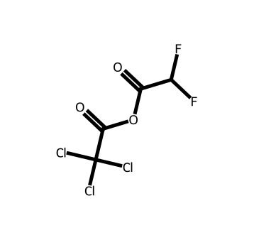 O=C(OC(=O)C(Cl)(Cl)Cl)C(F)F